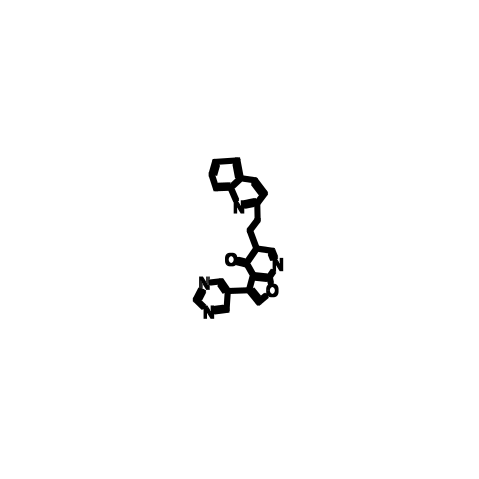 O=C1c2c(-c3cncnc3)coc2N=CC1CCc1ccc2ccccc2n1